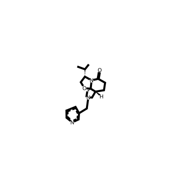 CC(C)[C@H]1CO[C@]23CCN(Cc4cccnc4)C[C@H]2CCC(=O)N13